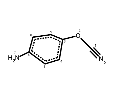 N#COc1ccc(N)cc1